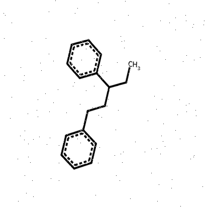 CCC([CH]Cc1ccccc1)c1ccccc1